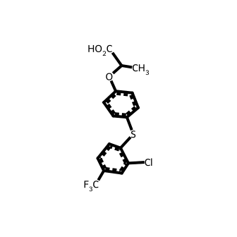 CC(Oc1ccc(Sc2ccc(C(F)(F)F)cc2Cl)cc1)C(=O)O